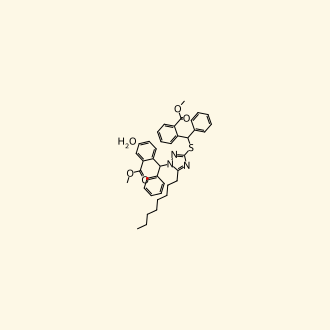 CCCCCCCCc1nc(SC(c2ccccc2)c2ccccc2C(=O)OC)nn1C(c1ccccc1)c1ccccc1C(=O)OC.O